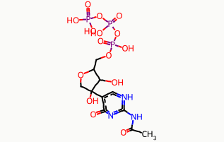 CC(=O)Nc1nc(=O)c(C2(O)COC(COP(=O)(O)OP(=O)(O)OP(=O)(O)O)C2O)c[nH]1